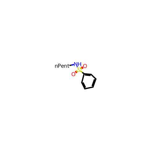 CCCCCNS(=O)(=O)c1ccccc1